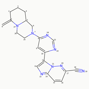 C=C1CCCC2CN(c3cc(-c4cnc5ccc(C#N)nn45)ncn3)CCN12